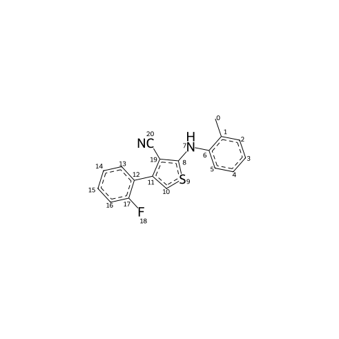 Cc1ccccc1Nc1scc(-c2ccccc2F)c1C#N